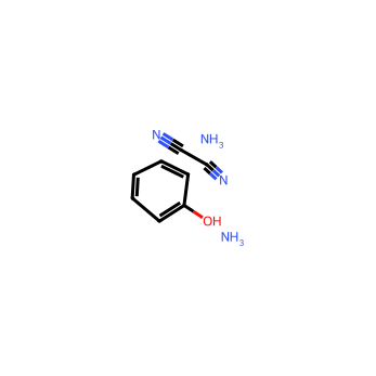 N.N.N#CC#N.Oc1ccccc1